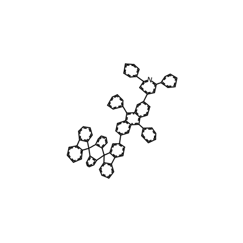 c1ccc(-c2cc(-c3ccc4c(-c5ccccc5)c5cc(-c6ccc7c(c6)C6(c8ccccc8-7)c7ccccc7C7(c8ccccc8-c8ccccc87)c7ccccc76)ccc5c(-c5ccccc5)c4c3)cc(-c3ccccc3)n2)cc1